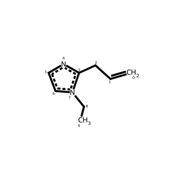 C=CCc1nccn1CC